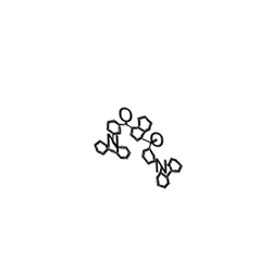 O=C(c1cccc(-n2c3ccccc3c3ccccc32)c1)c1ccc(C(=O)c2cccc(-n3c4ccccc4c4ccccc43)c2)c2ccccc12